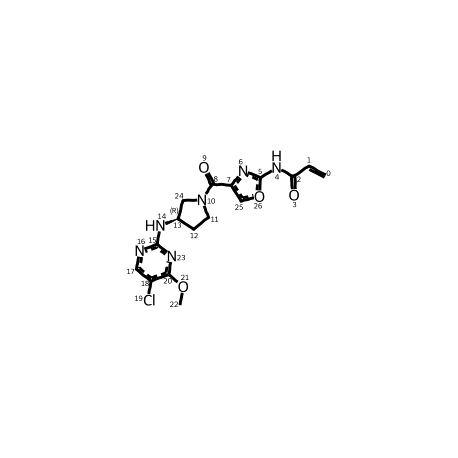 C=CC(=O)Nc1nc(C(=O)N2CC[C@@H](Nc3ncc(Cl)c(OC)n3)C2)co1